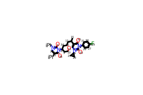 CC(C)c1cn(C(C)C)c(=O)n(C2CCOC(CC(C)c3cn(C4CC4)c(=O)n(-c4ccc(F)cc4)c3=O)C2)c1=O